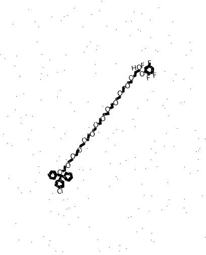 OC(CCOCCOCCOCCOCCOCCOCCOCCOCCOCCOCCOCCOCCOC(C1=CC=CCC1)(c1ccccc1)c1ccc(Cl)cc1)Oc1c(F)c(F)cc(F)c1F